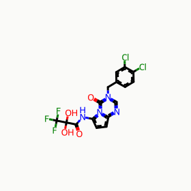 O=C(Nc1ccc2ncn(Cc3ccc(Cl)c(Cl)c3)c(=O)n12)C(O)(O)C(F)(F)F